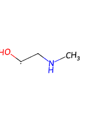 CNC[CH]O